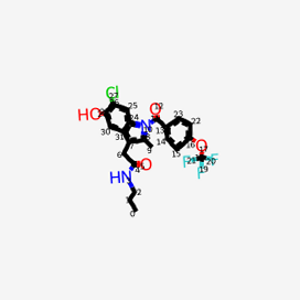 CCCNC(=O)Cc1c(C)n(C(=O)c2ccc(OC(F)(F)F)cc2)c2cc(Cl)c(O)cc12